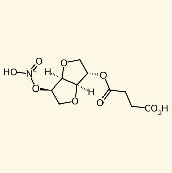 O=C(O)CCC(=O)O[C@H]1CO[C@H]2[C@@H]1OC[C@H]2O[N+](=O)O